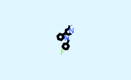 [CH2]c1cc2c3ccccc3n(Cc3ccc(F)cc3)c2cn1